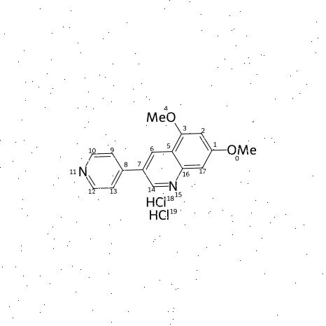 COc1cc(OC)c2cc(-c3ccncc3)cnc2c1.Cl.Cl